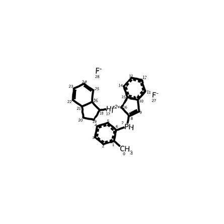 Cc1ccccc1PC1=Cc2ccccc2[CH]1[Hf+2][CH]1CCC2C=CC=CC21.[F-].[F-]